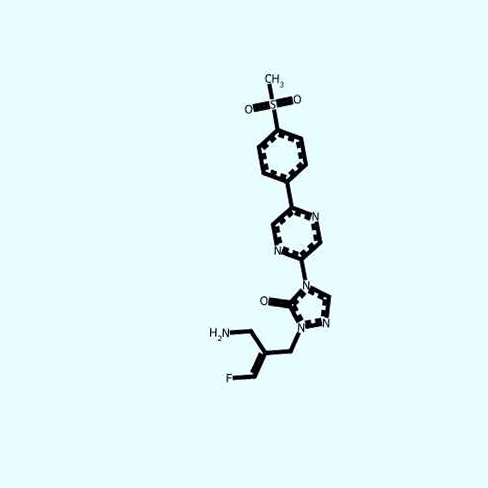 CS(=O)(=O)c1ccc(-c2cnc(-n3cnn(C/C(=C/F)CN)c3=O)cn2)cc1